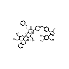 CC(C)C[C@H](NC(=O)[C@H](CCc1ccccc1)NC(=O)C1CCN(Cc2ccc(-n3c(O)nnc3-c3cc(C(C)C)c(O)cc3O)cc2)CC1)C(=O)N[C@@H](Cc1ccccc1)C(=O)N[C@@H](CC(C)C)C(=O)[C@@]1(C)CO1